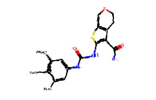 COc1cc(NC(=O)Nc2sc3c(c2C(N)=O)CCOC3)cc(OC)c1OC